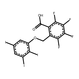 O=C(O)c1c(F)c(F)c(F)c(F)c1COc1cc(I)cc(I)c1I